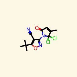 CC1=CC(=O)N(c2noc(C(C)(C)C)c2C#N)C1(Cl)Cl